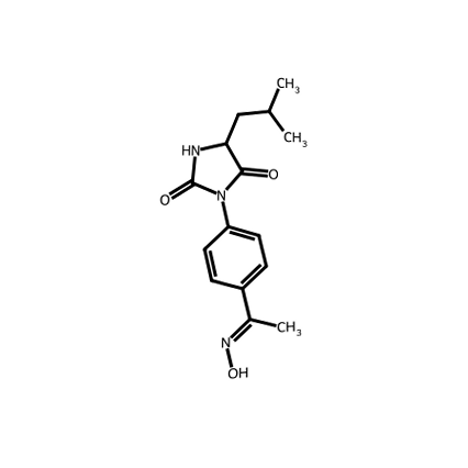 C/C(=N\O)c1ccc(N2C(=O)NC(CC(C)C)C2=O)cc1